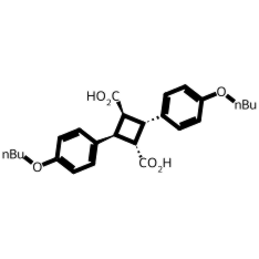 CCCCOc1ccc([C@H]2[C@H](C(=O)O)[C@H](c3ccc(OCCCC)cc3)[C@H]2C(=O)O)cc1